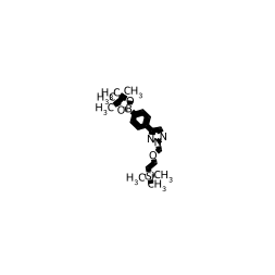 CC1(C)OB(c2ccc(-c3cnn(COCC[Si](C)(C)C)n3)cc2)OC1(C)C